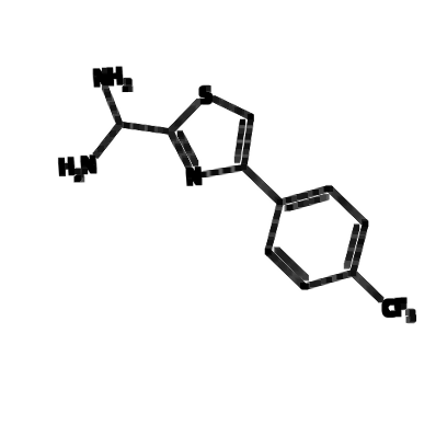 NC(N)c1nc(-c2ccc(C(F)(F)F)cc2)cs1